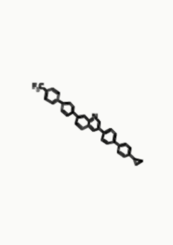 FC(F)(F)c1ccc(-c2ccc(-c3ccc4cc(-c5ccc(-c6ccc(C7CC7)cc6)cc5)cnc4c3)cc2)cc1